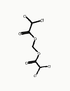 O=C(OCOC(=O)C(Cl)Cl)C(Cl)Cl